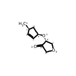 C[C@@H]1C=C[C@H](O[C@@H]2COCC2=O)C1